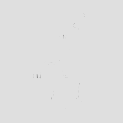 S=C=NCc1c[nH]c2ccccc12